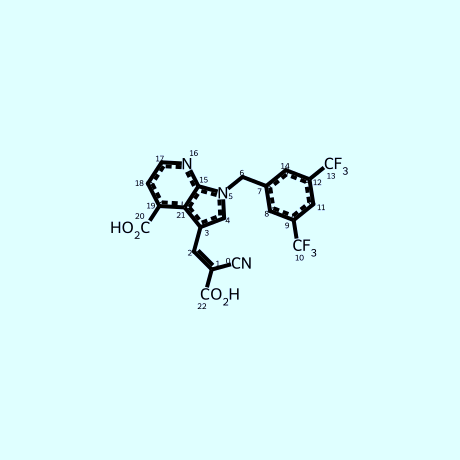 N#C/C(=C\c1cn(Cc2cc(C(F)(F)F)cc(C(F)(F)F)c2)c2nccc(C(=O)O)c12)C(=O)O